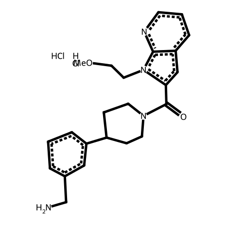 COCCn1c(C(=O)N2CCC(c3cccc(CN)c3)CC2)cc2cccnc21.Cl.Cl